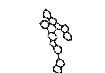 c1ccc(-c2nc3oc4cc(-c5ccc6ccccc6c5)ccc4c3nc2-n2c3cc4ccccc4cc3c3ccc4ccccc4c32)cc1